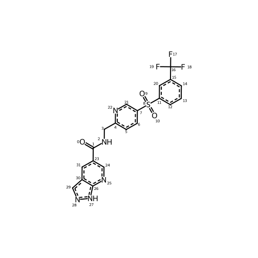 O=C(NCc1ccc(S(=O)(=O)c2cccc(C(F)(F)F)c2)cn1)c1cnc2[nH]ncc2c1